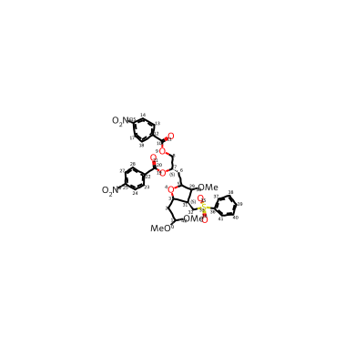 COC(CC1OC(C[C@@H](COC(=O)c2ccc([N+](=O)[O-])cc2)OC(=O)c2ccc([N+](=O)[O-])cc2)C(OC)[C@H]1CS(=O)(=O)c1ccccc1)OC